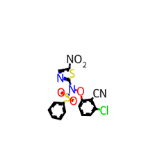 N#Cc1c(Cl)cccc1ON(c1ncc([N+](=O)[O-])s1)S(=O)(=O)c1ccccc1